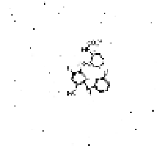 N#Cc1cc(F)c(N[C@@H]2CCCC[C@@H]2NC(=O)O)nc1Nc1cccc(Cl)c1